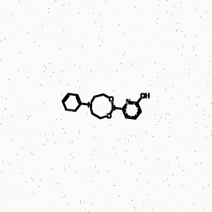 Oc1cccc(B2OCCN(C3=CC=CCC3)CCO2)n1